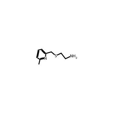 Cc1cccc(CSCCN)n1